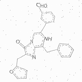 O=Cc1cccc(-c2cn3c(=O)c(Cc4ccco4)nc-3c(Cc3ccccc3)[nH]2)c1